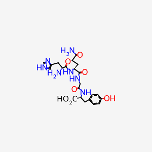 NC(=O)CC[C@H](NC(=O)[C@@H](N)Cc1c[nH]cn1)C(=O)NCC(=O)N[C@@H](Cc1ccc(O)cc1)C(=O)O